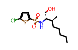 CCCCC[C@H](C)[C@@H](CO)NS(=O)(=O)c1ccc(Cl)s1